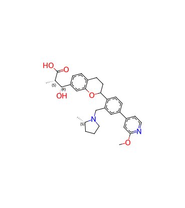 COc1cc(-c2ccc(C3CCc4ccc([C@H](O)[C@H](C)C(=O)O)cc4O3)c(CN3CCC[C@@H]3C)c2)ccn1